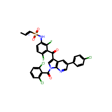 C/C=C/S(=O)(=O)Nc1ccc(F)c(C(=O)c2cn(C(=O)c3c(Cl)cccc3Cl)c3ncc(-c4ccc(Cl)cc4)cc23)c1F